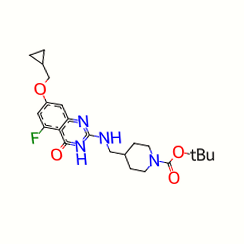 CC(C)(C)OC(=O)N1CCC(CNc2nc3cc(OCC4CC4)cc(F)c3c(=O)[nH]2)CC1